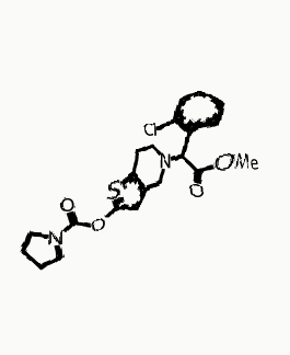 COC(=O)C(c1ccccc1Cl)N1CCc2sc(OC(=O)N3CCCC3)cc2C1